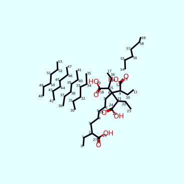 CCC(CCCCCC(C(CC)C(=O)O)(C(CC)C(=O)O)C(CC)C(=O)O)C(=O)O.CCCCCC.CCCCCC.CCCCCC.CCCCCC.CCCCCC